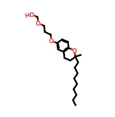 CCCCCCCCCC1(C)CCc2cc(OCCCOCO)ccc2O1